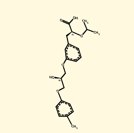 Cc1ccc(OC[C@@H](O)COc2cccc(C[C@H](OC(C)C)C(=O)O)c2)cc1